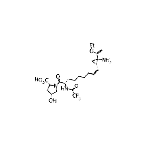 C=C(OCC)[C@@]1(N)C[C@H]1/C=C\CCCCC[C@H](NC(=O)C(F)(F)F)C(=O)N1C[C@H](O)C[C@H]1C(=O)O